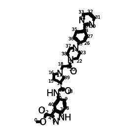 COC(=O)c1n[nH]c2ccc(NC(=O)[C@@H]3CCN(CC(=O)N4CCN(c5ccc(-c6ncccn6)cc5)CC4)C3)cc12